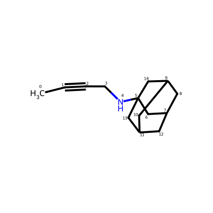 CC#CCNC12CC3CC(CC(C3)C1)C2